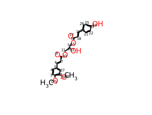 COc1ccc(/C=C/C(=O)OCC(O)COC(=O)C=Cc2ccc(O)cc2)cc1OC